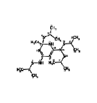 CC(C)SNC1=NC(C)(SC(C)C)NC(N(SC(C)C)SC(C)C)=N1